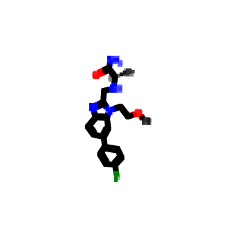 CCOCCn1c(CN[C@H](C(N)=O)C(C)C)nc2ccc(-c3ccc(F)cc3)cc21